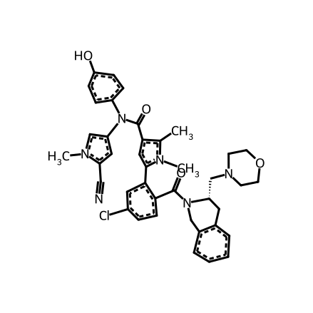 Cc1c(C(=O)N(c2ccc(O)cc2)c2cc(C#N)n(C)c2)cc(-c2cc(Cl)ccc2C(=O)N2Cc3ccccc3C[C@H]2CN2CCOCC2)n1C